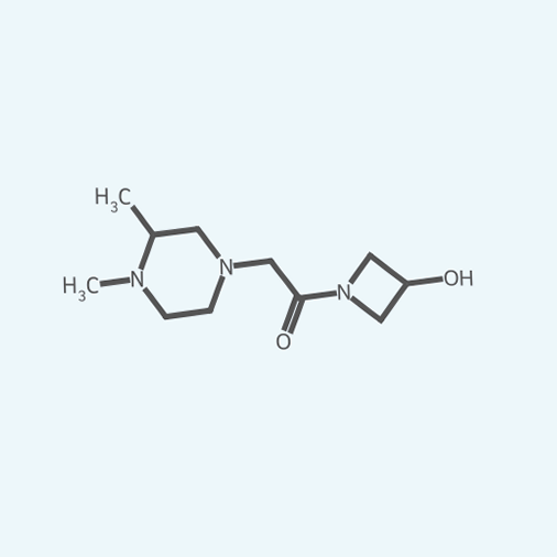 CC1CN(CC(=O)N2CC(O)C2)CCN1C